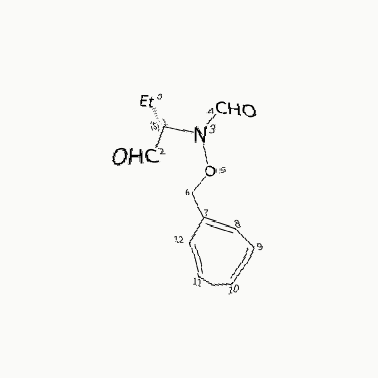 CC[C@@H](C=O)N(C=O)OCc1ccccc1